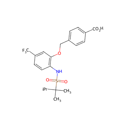 CC(C)C(C)(C)S(=O)(=O)Nc1ccc(C(F)(F)F)cc1OCc1ccc(C(=O)O)cc1